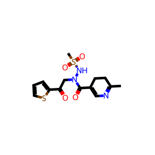 CC1=NC=C(C(=O)N(CC(=O)c2cccs2)NS(C)(=O)=O)CC1